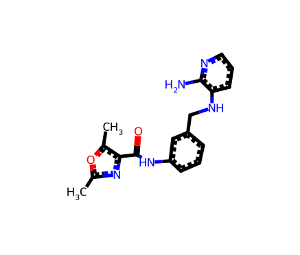 Cc1nc(C(=O)Nc2cccc(CNc3cccnc3N)c2)c(C)o1